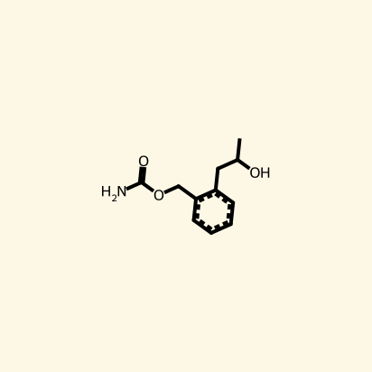 CC(O)Cc1ccccc1COC(N)=O